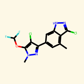 Cc1cc(-c2nn(C)c(OC(F)F)c2Cl)cc2[nH]nc(Cl)c12